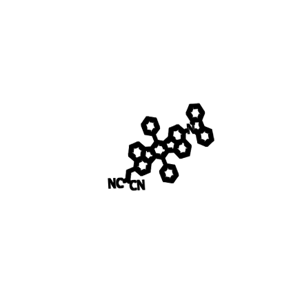 N#CC(C#N)=Cc1ccc2c3c(-c4ccccc4)c4c5cccc6c(-n7c8ccccc8c8ccccc87)ccc(c4c(-c4ccccc4)c3c3cccc1c23)c65